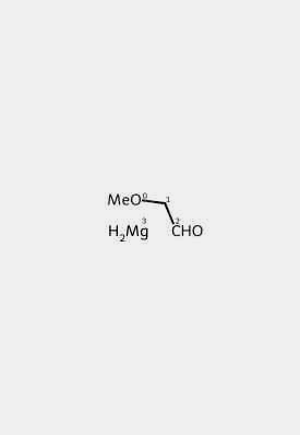 COCC=O.[MgH2]